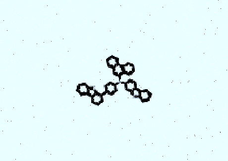 c1ccc2c(c1)cc(N(c1ccc(-c3cccc4c3sc3ccccc34)cc1)c1ccc3c(c1)sc1ccccc13)c1ccccc12